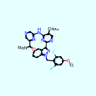 CCOc1cc(F)c(Cn2nc(-c3ncc(OC)c(Nc4cncc(C(=O)NC)n4)n3)c3ccccc32)c(F)c1